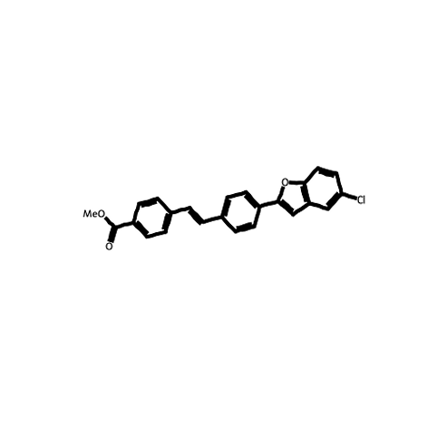 COC(=O)c1ccc(C=Cc2ccc(-c3cc4cc(Cl)ccc4o3)cc2)cc1